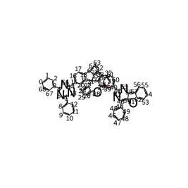 c1ccc(-c2nc(-c3ccccc3)nc(-c3ccc4c(c3)C3(c5ccccc5Oc5ccccc53)c3c(-c5ccc(-c6nc(-c7ccccc7)c7oc8ccccc8c7n6)cc5)cccc3-4)n2)cc1